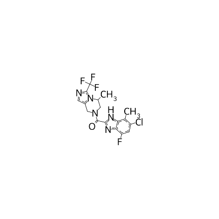 Cc1c(Cl)cc(F)c2nc(C(=O)N3Cc4cnc(C(F)(F)F)n4C(C)C3)[nH]c12